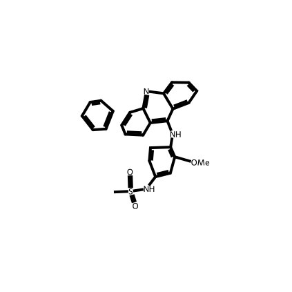 COc1cc(NS(C)(=O)=O)ccc1Nc1c2ccccc2nc2ccccc12.c1ccccc1